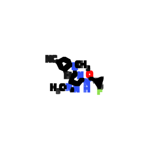 CCc1cc(C#N)ccc1N(C)c1cc2c(ncn2C)c(NC(=O)[C@H]2C[C@H]2F)n1